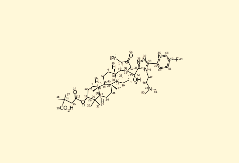 CC(C)C1=C2[C@H]3CC[C@@H]4[C@@]5(C)CC[C@H](OC(=O)CC(C)(C)C(=O)O)C(C)(C)[C@@H]5CC[C@@]4(C)[C@]3(C)CC[C@@]2([C@H](O)c2nnc(-c3ccc(F)cn3)n2CCN(C)C)CC1=O